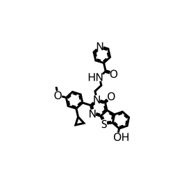 COc1ccc(-c2nc3sc4c(O)cccc4c3c(=O)n2CCNC(=O)c2ccncc2)c(C2CC2)c1